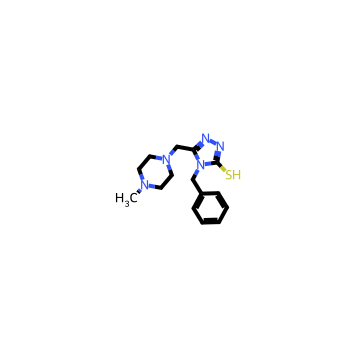 CN1CCN(Cc2nnc(S)n2Cc2ccccc2)CC1